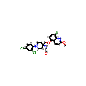 COc1ccc2c(OCC3(N=C=O)CCN(c4ccc(Cl)cc4Cl)CC3)ccc(F)c2n1